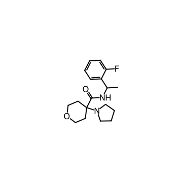 CC(NC(=O)C1(N2CCCC2)CCOCC1)c1ccccc1F